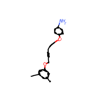 Cc1cc(C)cc(OCC#CCOc2ccc(N)cc2)c1